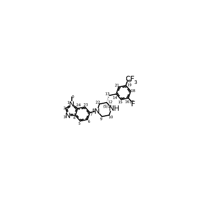 Cn1cnc2ccc(N3CCN[C@@H](Cc4cc(F)cc(C(F)(F)F)c4)C3)cc21